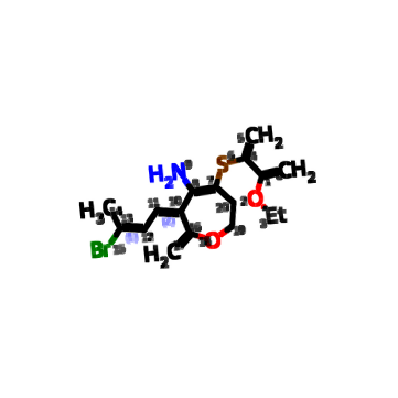 C=C(OCC)C(=C)SC1=C(N)/C(=C/C=C(\C)Br)C(=C)OCC1